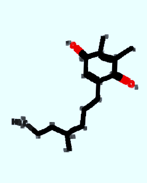 CC1=C(C)C(=O)C(CCCC(C)CCC(=O)O)=CC1=O